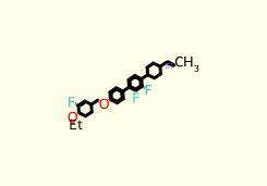 C/C=C/C1CCC(c2ccc(-c3ccc(OCC4C=C(F)C(OCC)CC4)cc3)c(F)c2F)CC1